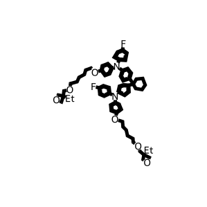 CCC1(COCCCCCCOc2ccc(N(c3ccc(F)cc3)c3ccc(C4(c5ccc(N(c6ccc(F)cc6)c6ccc(OCCCCCCOCC7(CC)COC7)cc6)cc5)CCCCC4)cc3)cc2)COC1